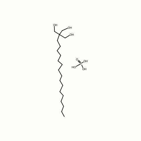 CCCCCCCCCCCCCCCCC(CO)(CO)CO.O=P(O)(O)O